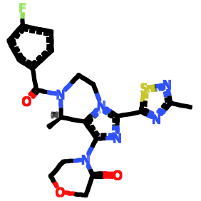 Cc1nsc(-c2nc(N3CCOCC3=O)c3n2CCN(C(=O)c2ccc(F)cc2)[C@@H]3C)n1